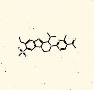 CCc1cc2nc3n(c2cc1S(C)(=O)=O)CCN(c1ncc(C(C)=O)c(C)n1)C3C(C)C